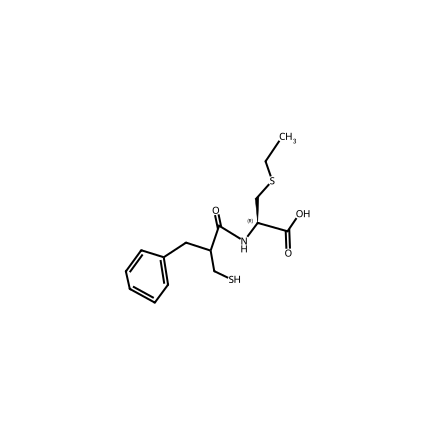 CCSC[C@H](NC(=O)C(CS)Cc1ccccc1)C(=O)O